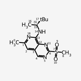 Cc1cc2cnc(S(C)(=O)=O)nc2c(N[C@@H](C)C(C)(C)C)n1